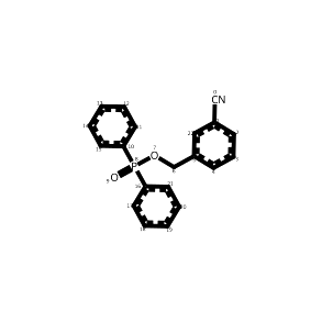 N#Cc1cccc(COP(=O)(c2ccccc2)c2ccccc2)c1